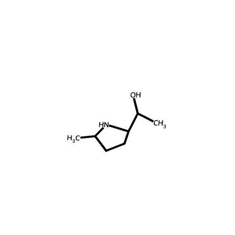 CC1CCC(C(C)O)N1